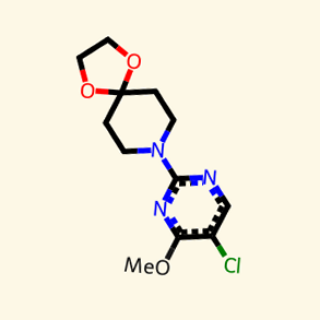 COc1nc(N2CCC3(CC2)OCCO3)ncc1Cl